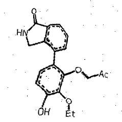 CCOc1c(O)ccc(-c2cccc3c2CNC3=O)c1OCC(C)=O